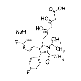 CC(C)n1c(CC[C@@H](O)C[C@@H](O)CC(=O)O)c(-c2ccc(F)cc2)c(-c2ccc(F)cc2)c1C(N)=O.[NaH]